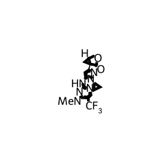 CNc1nc(Nc2cc([C@@]34C[C@@H]3COC4=O)nn2C2CC2)ncc1C(F)(F)F